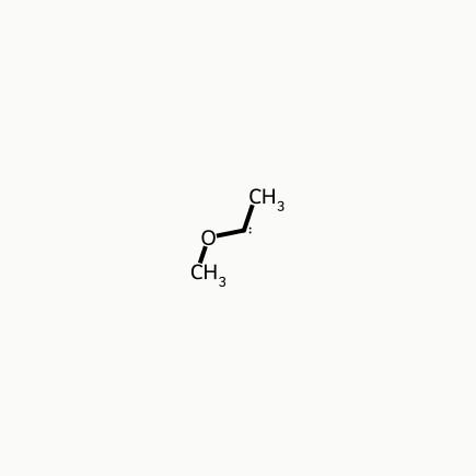 C[C]OC